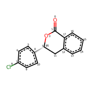 O=C1O[C@@H](c2ccc(Cl)cc2)Cc2ccccc21